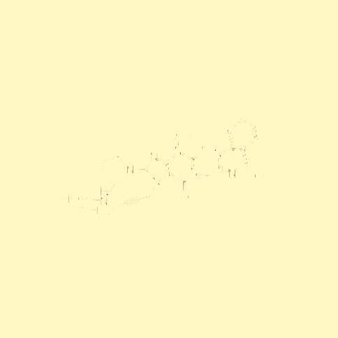 CC#CCn1c(N2CCCC(NC(=O)O)C2)nc2c1c(=O)n(Cc1nc(C)c3ccccc3n1)c(=O)n2C